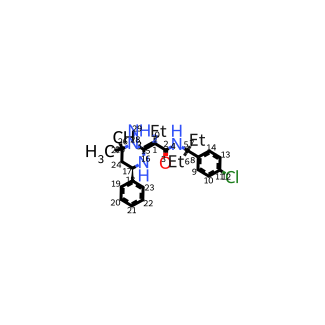 CC/C(C(=O)NC(CC)(CC)c1ccc(Cl)cc1)=C1/N[C@@H](c2ccccc2)CC(C)(C)N1N